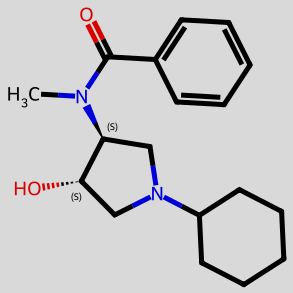 CN(C(=O)c1ccccc1)[C@H]1CN(C2CCCCC2)C[C@@H]1O